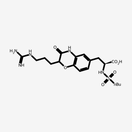 CCCCS(=O)(=O)N[C@@H](Cc1ccc2c(c1)NC(=O)C(CCCNC(=N)N)O2)C(=O)O